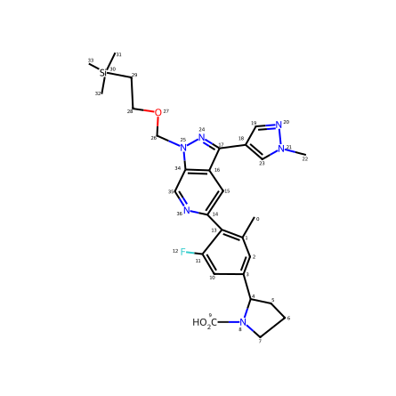 Cc1cc(C2CCCN2C(=O)O)cc(F)c1-c1cc2c(-c3cnn(C)c3)nn(COCC[Si](C)(C)C)c2cn1